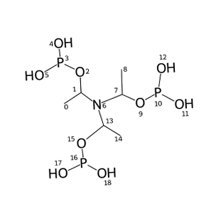 CC(OP(O)O)N(C(C)OP(O)O)C(C)OP(O)O